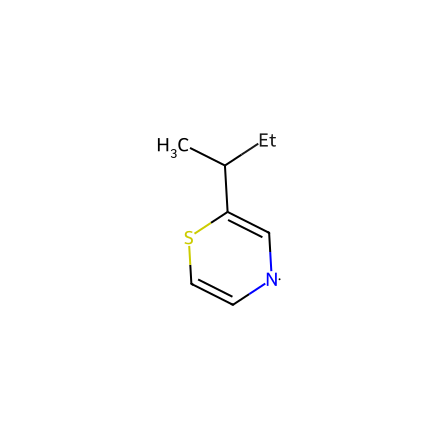 CCC(C)C1=C[N]C=CS1